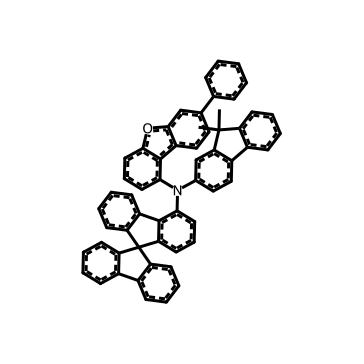 CC1(C)c2ccccc2-c2ccc(N(c3cccc4c3-c3ccccc3C43c4ccccc4-c4ccccc43)c3cccc4oc5cc(-c6ccccc6)ccc5c34)cc21